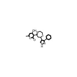 Cc1cc(O)c(C2=NCCSC(c3c[nH]nc3-c3ccccc3)C2)c(=O)o1